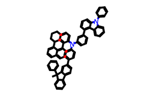 CC1(c2ccccc2)c2ccccc2-c2ccc(-c3ccc(N(c4cccc(-c5cccc6c5c5ccccc5n6-c5ccccc5)c4)c4ccccc4-c4cccc5cccc(C6CCCCC6)c45)cc3)cc21